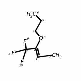 CC=C(OCCC)C(F)(F)F